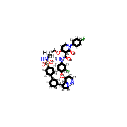 CCOc1ccn(-c2ccc(F)cc2)c(=O)c1C(=O)Nc1ccc(Oc2ccnn3ccc(-c4cccc(-c5ccc(S(=O)(=O)NC)cc5)c4)c23)c(F)c1